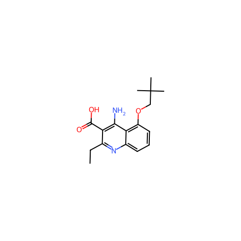 CCc1nc2cccc(OCC(C)(C)C)c2c(N)c1C(=O)O